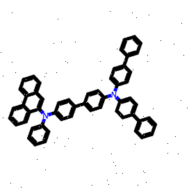 C1=C(c2ccccc2)CCC(N(c2ccc(-c3ccccc3)cc2)c2ccc(-c3ccc(N(c4ccccc4)c4cc5ccccc5c5ccccc45)cc3)cc2)=C1